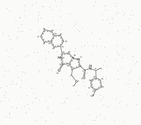 COCc1c(C(=O)NC(C)c2ccc(F)cc2)nn2cc(-c3ccc4ccccc4c3)[nH]c(=O)c12